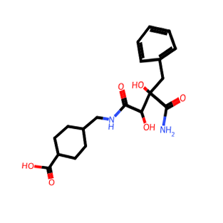 NC(=O)C(O)(Cc1ccccc1)C(O)C(=O)NCC1CCC(C(=O)O)CC1